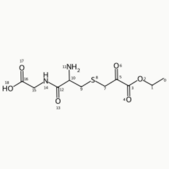 CCOC(=O)C(=O)CSCC(N)C(=O)NCC(=O)O